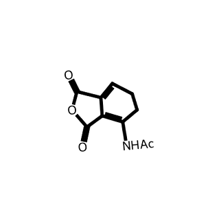 CC(=O)NC1=C2C(=O)OC(=O)C2=CCC1